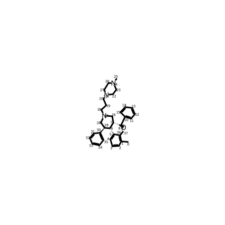 Cc1cccc([C@H]2[C@@H](C(=O)c3ccccc3)CN(CCCN3CCN(C)CC3)C[C@@H]2c2[c]cccc2)c1C